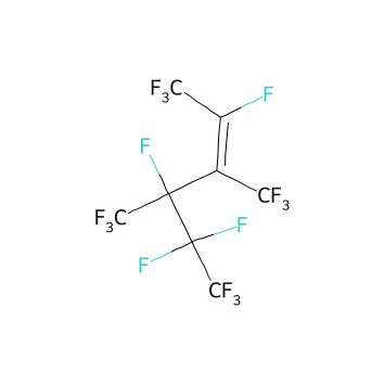 FC(=C(C(F)(F)F)C(F)(C(F)(F)F)C(F)(F)C(F)(F)F)C(F)(F)F